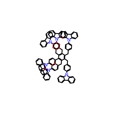 c1ccc2c(c1)c1ccccc1n2-c1ccc(Cc2c(Cc3ccc(-n4c5ccccc5c5ccccc54)cc3)c(Cc3ccc(-n4c5ccccc5c5ccccc54)cc3)c(-c3ccc(-n4c5ccccc5c5ccccc54)cc3)c(Cc3ccc(-n4c5ccccc5c5ccccc54)cc3)c2Cc2ccc(-n3c4ccccc4c4ccccc43)cc2)cc1